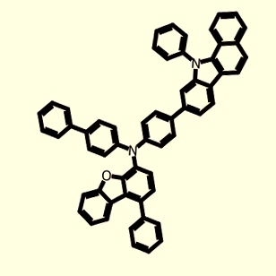 c1ccc(-c2ccc(N(c3ccc(-c4ccc5c6ccc7ccccc7c6n(-c6ccccc6)c5c4)cc3)c3ccc(-c4ccccc4)c4c3oc3ccccc34)cc2)cc1